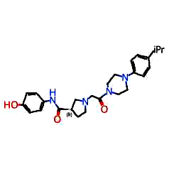 CC(C)c1ccc(N2CCN(C(=O)CN3CC[C@@H](C(=O)Nc4ccc(O)cc4)C3)CC2)cc1